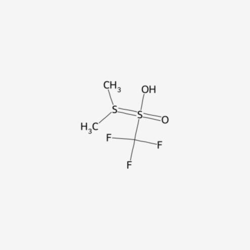 CS(C)=S(=O)(O)C(F)(F)F